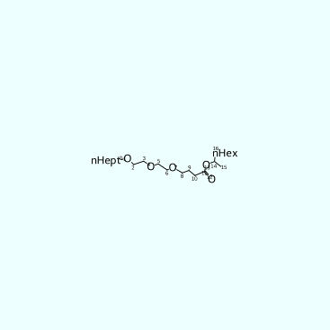 CCCCCCCOCCOCCOCCCC(=O)OC(C)CCCCCC